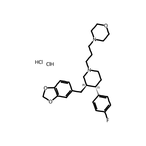 Cl.Cl.Fc1ccc([C@H]2CCN(CCCN3CCOCC3)C[C@@H]2Cc2ccc3c(c2)OCO3)cc1